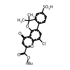 CCCCOC(=O)c1cc(=O)c2c3c(cc(Cl)c2o1)-c1ccc(S(=O)(=O)O)cc1C(C)(C)O3